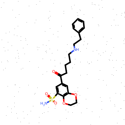 NS(=O)(=O)c1cc(C(=O)CCCCNCCc2ccccc2)cc2c1OCCO2